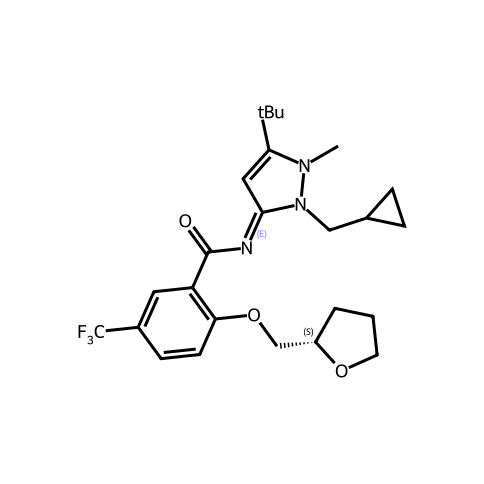 Cn1c(C(C)(C)C)c/c(=N\C(=O)c2cc(C(F)(F)F)ccc2OC[C@@H]2CCCO2)n1CC1CC1